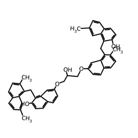 Cc1ccc2ccc(C)c(Cc3c(O)ccc4ccc(OCC(O)COc5ccc6ccc(C)c(Cc7c(O)ccc8ccc(C)cc78)c6c5)cc34)c2c1